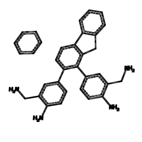 NCc1cc(-c2ccc3c(c2-c2ccc(N)c(CN)c2)Cc2ccccc2-3)ccc1N.c1ccccc1